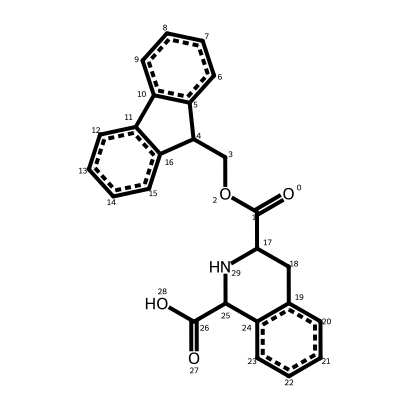 O=C(OCC1c2ccccc2-c2ccccc21)C1Cc2ccccc2C(C(=O)O)N1